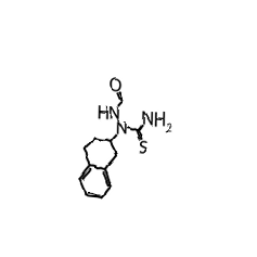 NC(=S)N(NC=O)C1CCc2ccccc2C1